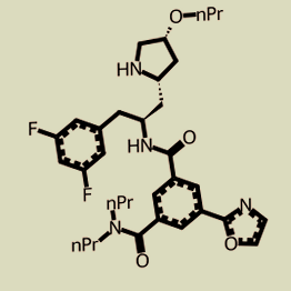 CCCO[C@H]1CN[C@@H](C[C@H](Cc2cc(F)cc(F)c2)NC(=O)c2cc(C(=O)N(CCC)CCC)cc(-c3ncco3)c2)C1